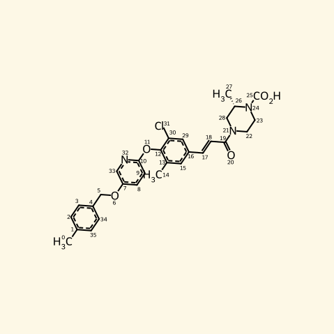 Cc1ccc(COc2ccc(Oc3c(C)cc(/C=C/C(=O)N4CCN(C(=O)O)[C@@H](C)C4)cc3Cl)nc2)cc1